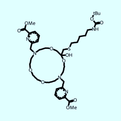 COC(=O)c1cccc(CN2CCOCCOCCN(Cc3cccc(C(=O)OC)n3)CCOC(O)(CSCCCCCNC(=O)OC(C)(C)C)COCC2)n1